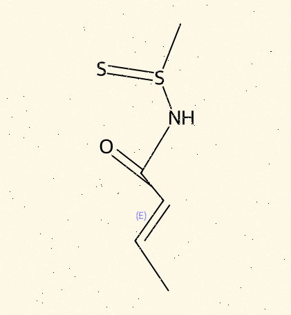 C/C=C/C(=O)NS(C)=S